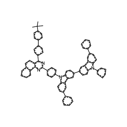 CC(C)(C)c1ccc(-c2ccc(-c3nc(-c4ccc(-n5c6ccc(-c7ccccc7)cc6c6cc(-c7ccc8c(c7)c7cc(-c9ccccc9)ccc7n8-c7ccccc7)ccc65)cc4)nc4c3ccc3ccccc34)cc2)cc1